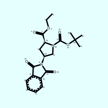 CCOC(=O)[C@@H]1C[C@H](N2C(=O)c3ccccc3C2=O)CN1C(=O)OC(C)(C)C